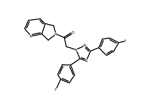 O=C(Cn1nc(-c2ccc(F)cc2)nc1-c1ccc(F)cc1)N1Cc2cccnc2C1